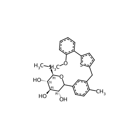 COc1ccccc1-c1ccc(Cc2cc(C3O[C@H](SC)[C@@H](O)[C@H](O)[C@H]3O)ccc2C)s1